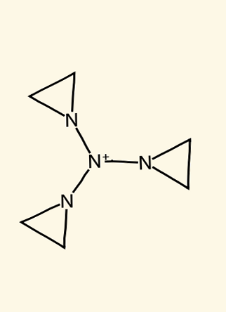 C1CN1[N+](N1CC1)N1CC1